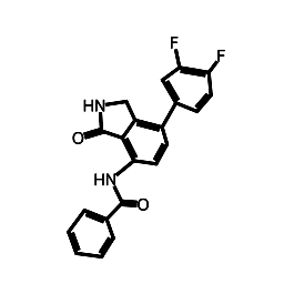 O=C(Nc1ccc(-c2ccc(F)c(F)c2)c2c1C(=O)NC2)c1ccccc1